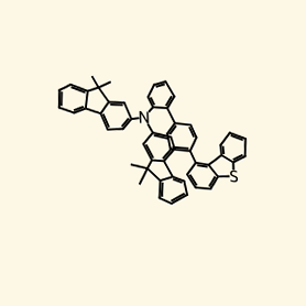 CC1(C)c2ccccc2-c2ccc(N(c3ccc4c(c3)C(C)(C)c3ccccc3-4)c3ccccc3-c3ccc(-c4cccc5sc6ccccc6c45)cc3)cc21